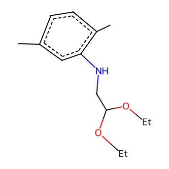 CCOC(CNc1cc(C)ccc1C)OCC